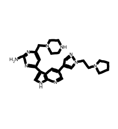 Nc1nc(CN2CCNCC2)cc(-c2c[nH]c3ncc(-c4cnn(CCN5CCCC5)c4)cc23)n1